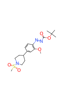 COc1cc(C2CCN(S(C)(=O)=O)CC2)ccc1N=NC(=O)OC(C)(C)C